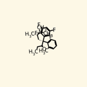 CCC(=O)[C@](C[C@H](C)N(C)C)(c1ccccc1C)c1c(F)c(F)cc(F)c1F